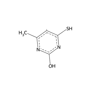 Cc1[c]c(S)nc(O)n1